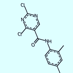 Cc1ccc(NC(=O)c2cnc(Cl)nc2Cl)c(C)c1